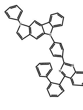 c1ccc(-c2ccccc2-c2nc(-c3ccc(-n4c5ccccc5c5cc6c(ccn6-c6ccccc6)cc54)cc3)nc3ccccc23)cc1